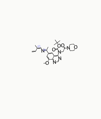 C=C/C(C)=C\N=C(/C)c1cc(OC)c2ncnc(N(CC(=O)N3CCOCC3)C(=O)OC(C)(C)C)c2c1